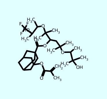 C=C(C)C(=O)OC12CC3CC(C1)CC(C(=O)OC(CC(C)(C)OC(C)C(C)(C)O)C(C)(C)OC(C)C(C)(O)C(F)(F)F)(C3)C2